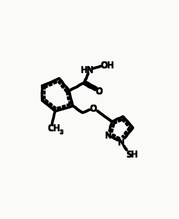 Cc1cccc(C(=O)NO)c1COc1ccn(S)n1